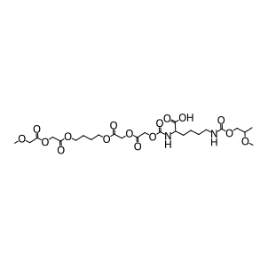 COCC(=O)OCC(=O)OCCCCOC(=O)COC(=O)COC(=O)NC(CCCCNC(=O)OCC(C)OC)C(=O)O